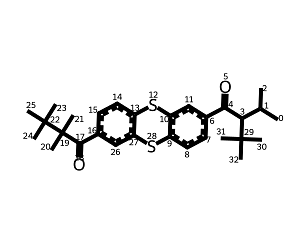 CC(C)C(C(=O)c1ccc2c(c1)Sc1ccc(C(=O)C(C)(C)C(C)(C)C)cc1S2)C(C)(C)C